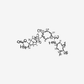 C[C@H]1C2CC(S(=O)(=O)c3cc(C(=O)Nc4cc(F)c(F)c(F)c4)ccc3Cl)CC1[C@]21CNC(=O)O1